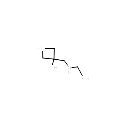 CCNCC1(O)CNC1